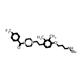 CCC(C)NCCCOc1ccc(CCN2CCN(C(=O)c3ccc(C(F)(F)F)cc3)CC2)c(C)c1C